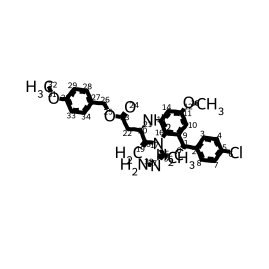 C=C(c1ccc(Cl)cc1)c1cc(OC)ccc1N(C(=C)[C@@H](N)CC(=O)OCc1ccc(OC)cc1)/C(C)=N\N